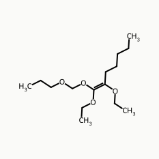 CCCCCC(OCC)=C(OCC)OCOCCC